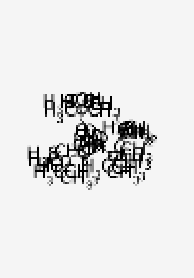 C=C.C=C.C=C.CC(C)(C)c1cc(CCC(=O)On2c(=O)n(OC(=O)CCc3cc(C(C)(C)C)c(O)c(C(C)(C)C)c3)c(=O)n(OC(=O)CCc3cc(C(C)(C)C)c(O)c(C(C)(C)C)c3)c2=O)cc(C(C)(C)C)c1O